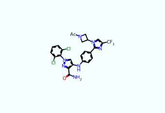 CC(=O)N1CC(n2cc(C(F)(F)F)nc2-c2ccc(Nc3cn(-c4c(Cl)cccc4Cl)nc3C(N)=O)cc2)C1